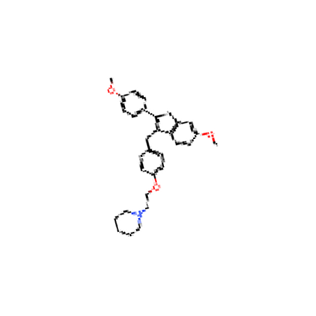 COc1ccc(C2=C(Cc3ccc(OCCN4CCCCC4)cc3)c3ccc(OC)cc3C2)cc1